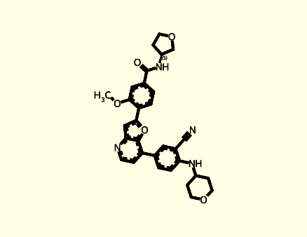 COc1cc(C(=O)N[C@H]2CCOC2)ccc1-c1cc2nccc(-c3ccc(NC4CCOCC4)c(C#N)c3)c2o1